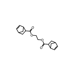 O=C(OCCOC(=O)C1CC2C=CC1C2)C1CC2C=CC1C2